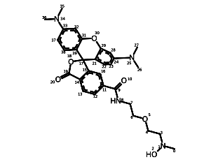 CN(O)CCOCCNC(=O)c1ccc2c(c1)C1(OC2=O)c2ccc(N(C)C)cc2Oc2cc(N(C)C)ccc21